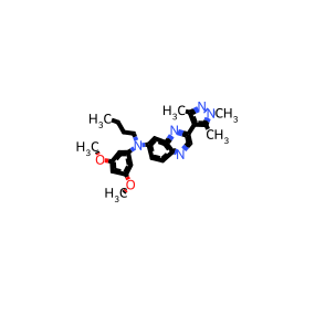 CCCCN(c1cc(OC)cc(OC)c1)c1ccc2ncc(-c3c(C)nn(C)c3C)nc2c1